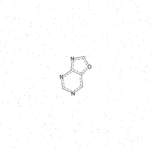 [c]1nc2ncncc2o1